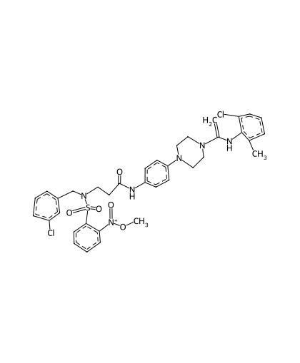 C=C(Nc1c(C)cccc1Cl)N1CCN(c2ccc(NC(=O)CCN(Cc3cccc(Cl)c3)S(=O)(=O)c3ccccc3[N+](=O)OC)cc2)CC1